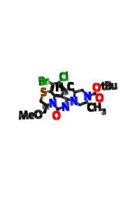 COC[C@H]1CSc2c(Br)c(Cl)cc3c(N4CC(C)N(C(=O)OC(C)(C)C)CC4C)nc(=O)n1c23